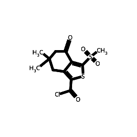 CC1(C)CC(=O)c2c(S(C)(=O)=O)sc(C(=O)Cl)c2C1